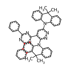 CC1(C)c2ccccc2N(c2cc(-c3nc(-c4ccccc4)nc(-c4ccccc4)n3)c(N3c4ccccc4C(C)(C)c4ccccc43)nn2)c2ccccc21